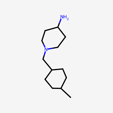 CC1CCC(CN2CCC(N)CC2)CC1